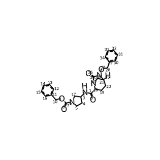 O=C(NC1CCN(C(=O)OCc2ccccc2)C1)[C@@H]1CC[C@@H]2CN1C(=O)N2OCc1ccccc1